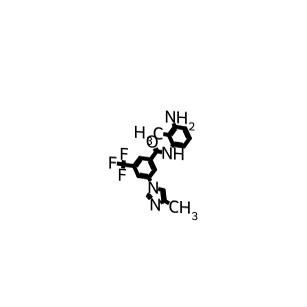 Cc1cn(-c2cc(C(=O)Nc3cccc(N)c3C)cc(C(F)(F)F)c2)cn1